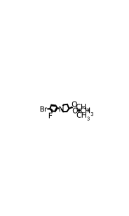 CC(C)(C)OC(=O)C1CCN(c2ccc(Br)c(F)c2)CC1